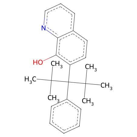 CC(C)(C)C(c1ccccc1)(c1ccc2cccnc2c1O)C(C)(C)C